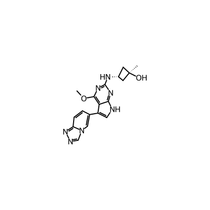 COc1nc(N[C@H]2C[C@](C)(O)C2)nc2[nH]cc(-c3ccc4nncn4c3)c12